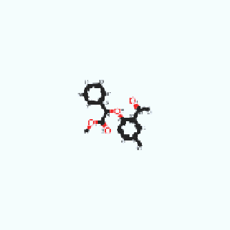 COC(=O)C(Oc1ccc(C)cc1C(C)=O)c1ccccc1